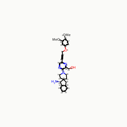 COc1ccc(OCC#Cc2cnc(N3CCC4(CC3)Cc3ccccc3[C@H]4N)c(CO)n2)cc1OC